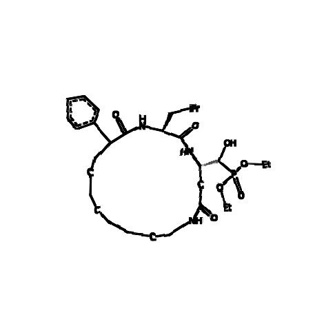 CCOP(=O)(OCC)C(O)[C@@H]1CC(=O)NCCCCCCCCC(c2ccccc2)C(=O)N[C@@H](CC(C)C)C(=O)N1